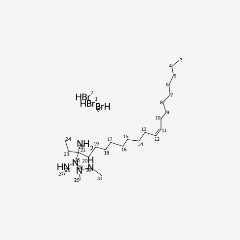 Br.Br.Br.CCCCCCCC/C=C\CCCCCCCCC(N)(CC)N(NC)N(C)NC